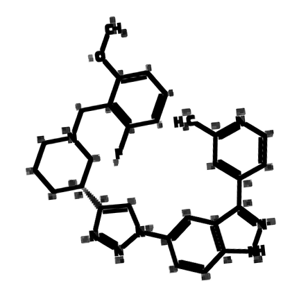 COc1cccc(F)c1CN1CCC[C@@H](c2cn(-c3ccc4[nH]nc(-c5ccnc(C)c5)c4c3)nn2)C1